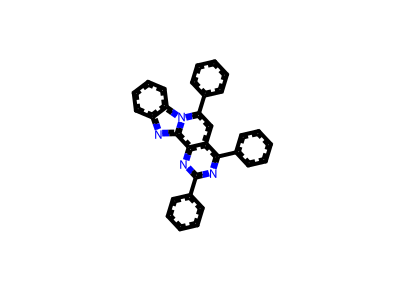 c1ccc(-c2nc(-c3ccccc3)c3cc(-c4ccccc4)n4c5ccccc5nc4c3n2)cc1